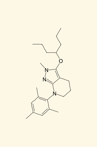 CCCC(CCC)Oc1c2c(nn1C)N(c1c(C)cc(C)cc1C)CCC2